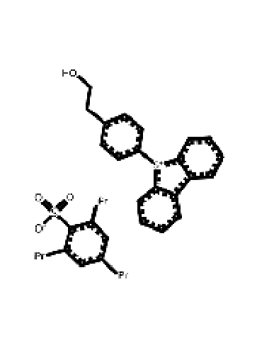 CC(C)c1cc(C(C)C)c(S(=O)(=O)[O-])c(C(C)C)c1.OCCc1ccc(-[s+]2c3ccccc3c3ccccc32)cc1